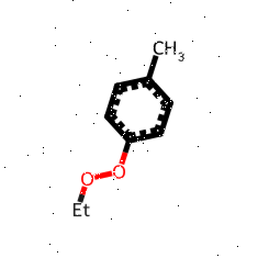 CCOOc1ccc(C)cc1